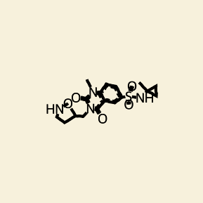 Cn1c(=O)n(CC2CCNO2)c(=O)c2cc(S(=O)(=O)NC3(C)CC3)ccc21